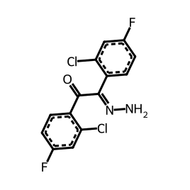 NN=C(C(=O)c1ccc(F)cc1Cl)c1ccc(F)cc1Cl